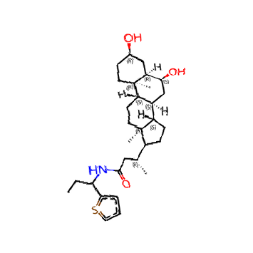 CCC(NC(=O)C[C@@H](C)C1CC[C@H]2[C@@H]3C[C@H](O)[C@@H]4C[C@H](O)CC[C@]4(C)[C@H]3CC[C@]12C)c1cccs1